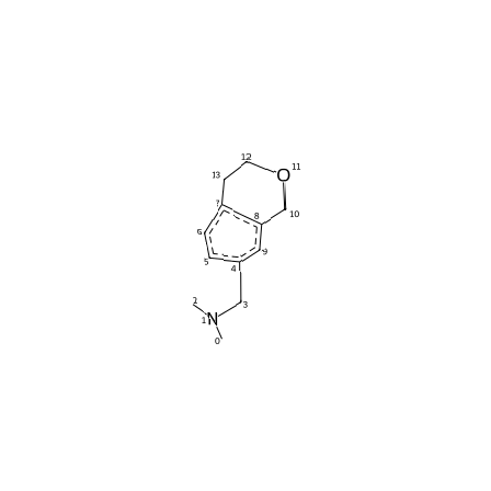 CN(C)Cc1ccc2c(c1)COCC2